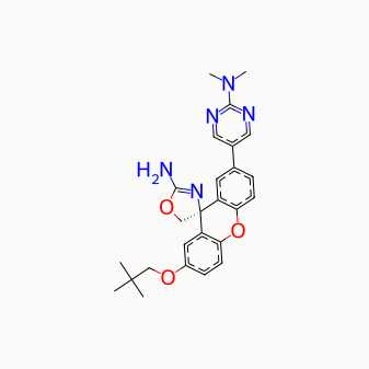 CN(C)c1ncc(-c2ccc3c(c2)[C@@]2(COC(N)=N2)c2cc(OCC(C)(C)C)ccc2O3)cn1